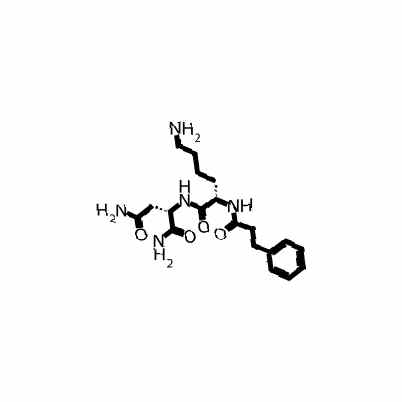 NCCCC[C@H](NC(=O)CCc1ccccc1)C(=O)N[C@@H](CC(N)=O)C(N)=O